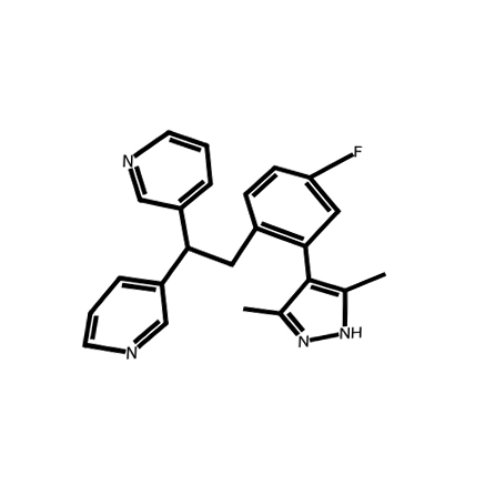 Cc1n[nH]c(C)c1-c1cc(F)ccc1CC(c1cccnc1)c1cccnc1